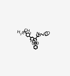 CN(C)C1CCC(c2cnc3c(c2)c(-c2cnn(CCN4CCOCC4)c2)cn3S(=O)(=O)c2ccccc2)CC1